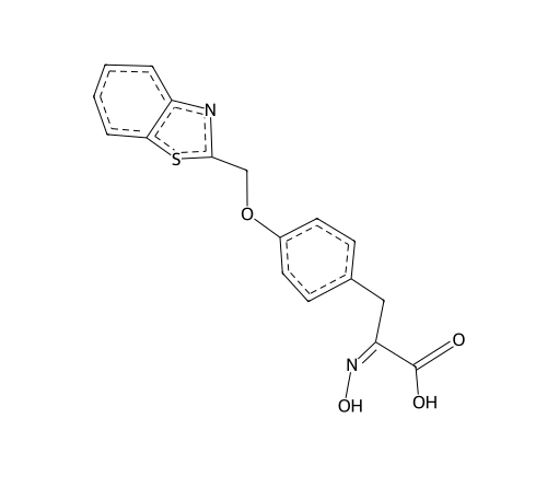 O=C(O)C(Cc1ccc(OCc2nc3ccccc3s2)cc1)=NO